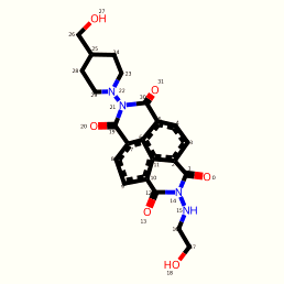 O=C1c2ccc3c4c(ccc(c24)C(=O)N1NCCO)C(=O)N(N1CCC(CO)CC1)C3=O